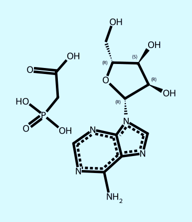 Nc1ncnc2c1ncn2[C@@H]1O[C@H](CO)[C@@H](O)[C@H]1O.O=C(O)CP(=O)(O)O